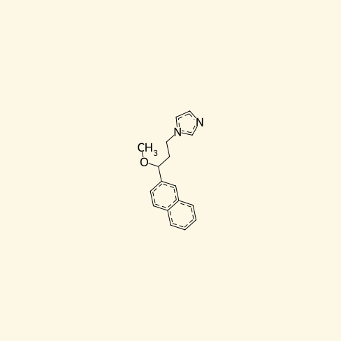 COC(CCn1ccnc1)c1ccc2ccccc2c1